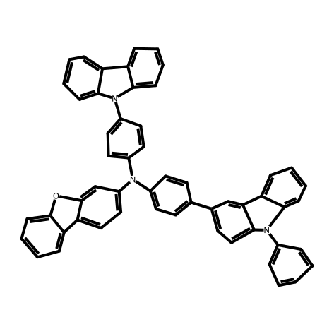 c1ccc(-n2c3ccccc3c3cc(-c4ccc(N(c5ccc(-n6c7ccccc7c7ccccc76)cc5)c5ccc6c(c5)oc5ccccc56)cc4)ccc32)cc1